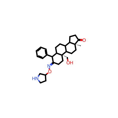 C[C@]12CCC3C(CCC4C(c5ccccc5)C(=NOC5CCNC5)CC[C@@]43CO)C1CCC2=O